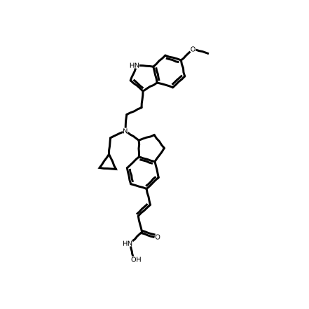 COc1ccc2c(CCN(CC3CC3)C3CCc4cc(C=CC(=O)NO)ccc43)c[nH]c2c1